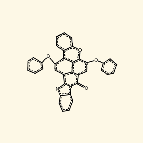 O=c1c2cc(Oc3ccccc3)c3oc4ccccc4c4c(Oc5ccccc5)cc(c2c34)c2nc3ccccc3n12